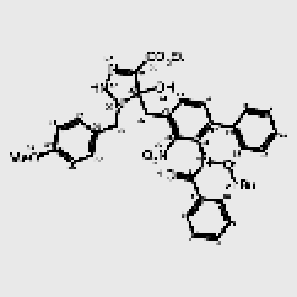 CCCCON(C(=O)c1ccccc1)c1c(-c2ccccc2)ccc(CC2(O)C(C(=O)OCC)=NNN2Cc2ccc(OC)cc2)c1[N+](=O)[O-]